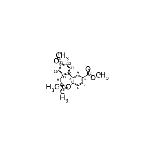 COC(=O)c1ccc2c(c1)-c1ccc(OC)cc1CC(C)(C)O2